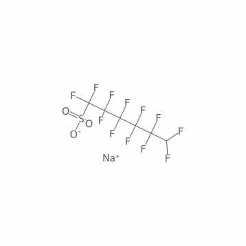 O=S(=O)([O-])C(F)(F)C(F)(F)C(F)(F)C(F)(F)C(F)(F)C(F)F.[Na+]